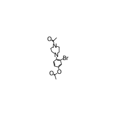 CC(=O)Oc1ccc(N2CCN(C(C)=O)CC2)c(Br)c1